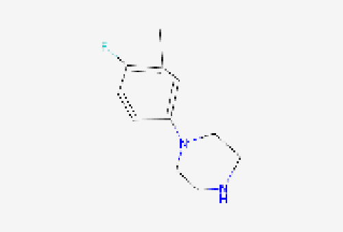 Cc1cc(N2CCNCC2)ccc1F